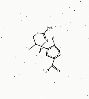 C[C@]1(c2cc(C(N)=O)ccc2F)N=C(N)OCC1F